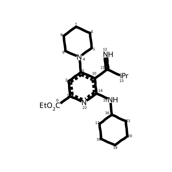 CCOC(=O)c1cc(N2CCCCC2)c(C(=N)C(C)C)c(NC2CCCCC2)n1